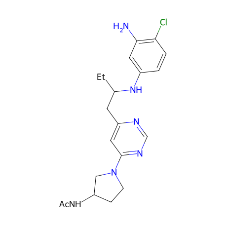 CCC(Cc1cc(N2CCC(NC(C)=O)C2)ncn1)Nc1ccc(Cl)c(N)c1